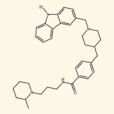 CCn1c2ccccc2c2cc(CN3CCC(Cc4ccc(C(=O)NCCCN5CCCCC5C)cc4)CC3)ccc21